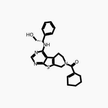 O=C(C1=CCCCC1)N1CCc2c(sc3ncnc(N[C@H](CO)c4ccccc4)c23)C1